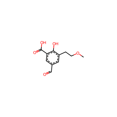 COCCc1cc(C=O)cc(C(=O)O)c1O